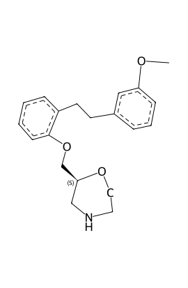 COc1cccc(CCc2ccccc2OC[C@@H]2CNCCO2)c1